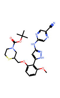 COc1cccc(OCC2CN(C(=O)OC(C)(C)C)CCS2)c1-c1cc(Nc2cnc(C#N)cn2)n[nH]1